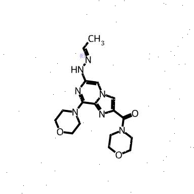 C/C=N/Nc1cn2cc(C(=O)N3CCOCC3)nc2c(N2CCOCC2)n1